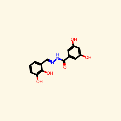 O=C(NN=Cc1cccc(O)c1O)c1cc(O)cc(O)c1